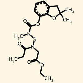 CCOC(=O)CN(SN(C)C(=O)Oc1cccc2c1OC(C)(C)C2)C(=O)CC